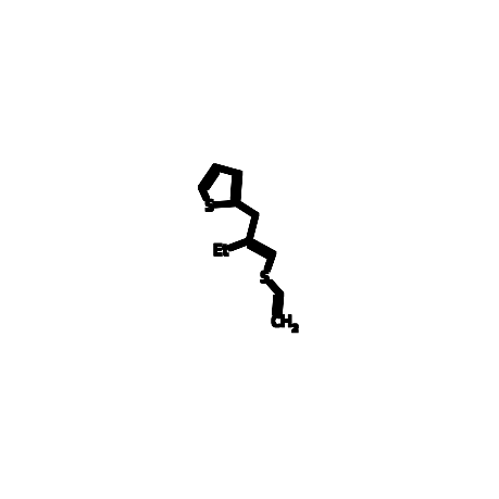 C=CS/C=C(\CC)Cc1cccs1